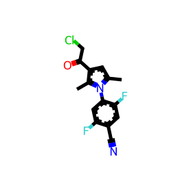 Cc1cc(C(=O)CCl)c(C)n1-c1cc(F)c(C#N)cc1F